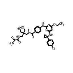 NC(=O)C(=O)NCC(CO)(CO)CNC(=O)c1ccc(Nc2nc(NC3(c4ccc(Cl)cc4)CC3)nc(OCC(F)(F)F)n2)cc1